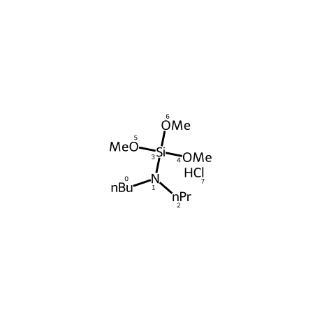 CCCCN(CCC)[Si](OC)(OC)OC.Cl